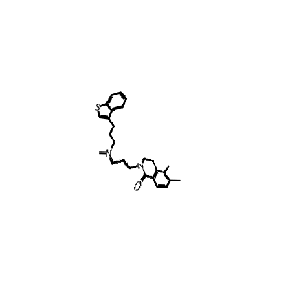 Cc1ccc2c(c1C)CCN(CCCN(C)CCCc1csc3ccccc13)C2=O